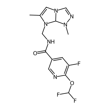 CC1=CN2C=NN(C)C2N1CNC(=O)c1cnc(OC(F)F)c(F)c1